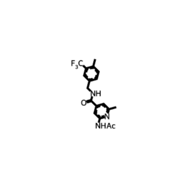 CC(=O)Nc1cc(C(=O)NCc2ccc(C)c(C(F)(F)F)c2)cc(C)n1